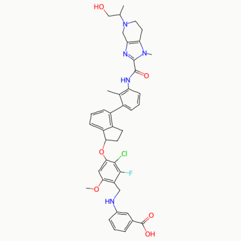 COc1cc(OC2CCc3c(-c4cccc(NC(=O)c5nc6c(n5C)CCN(C(C)CO)C6)c4C)cccc32)c(Cl)c(F)c1CNc1cccc(C(=O)O)c1